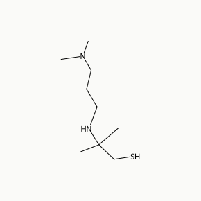 CN(C)CCCNC(C)(C)CS